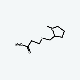 COC(=O)CCSCC1CCCN1C